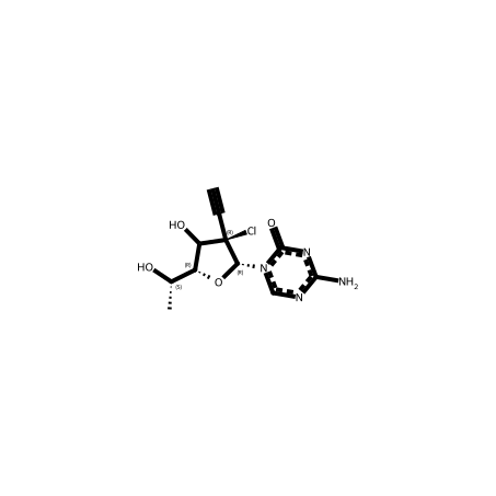 C#C[C@@]1(Cl)C(O)[C@@H]([C@H](C)O)O[C@H]1n1cnc(N)nc1=O